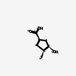 O=C(O)[C@@H]1C[C@@H](F)[C@@H](O)C1